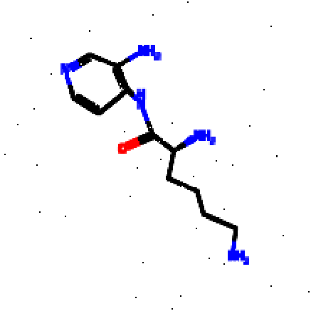 NCCCC[C@H](N)C(=O)Nc1ccncc1N